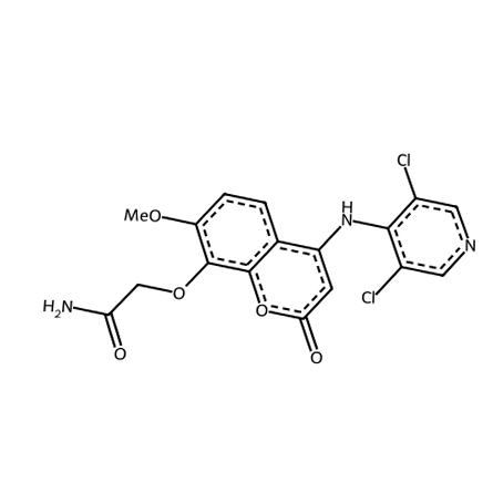 COc1ccc2c(Nc3c(Cl)cncc3Cl)cc(=O)oc2c1OCC(N)=O